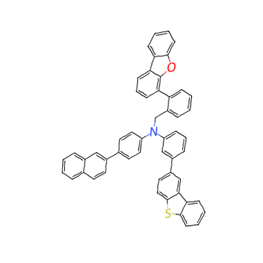 c1cc(-c2ccc3sc4ccccc4c3c2)cc(N(Cc2ccccc2-c2cccc3c2oc2ccccc23)c2ccc(-c3ccc4ccccc4c3)cc2)c1